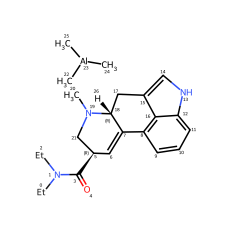 CCN(CC)C(=O)[C@@H]1C=C2c3cccc4[nH]cc(c34)C[C@H]2N(C)C1.[CH3][Al]([CH3])[CH3]